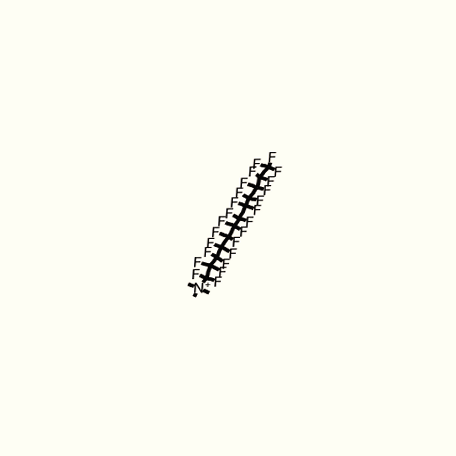 C[N+](C)(C)C(F)(F)C(F)(F)C(F)(F)C(F)(F)C(F)(F)C(F)(F)C(F)(F)C(F)(F)C(F)(F)C(F)(F)C(F)(F)C(F)(F)F